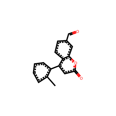 Cc1ccccc1-c1cc(=O)oc2cc(C=O)ccc12